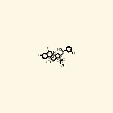 C[C@]12C[C@H](O)[C@@]3(F)[C@@H](C[C@H](F)C4=CC(=O)C=C[C@@]43C)C1C[C@@H](CN(O)c1cccc(Cl)c1)[C@@H]2C(=O)CO